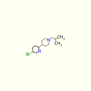 C[C](C)CN1CCC(c2ccc(Br)cn2)CC1